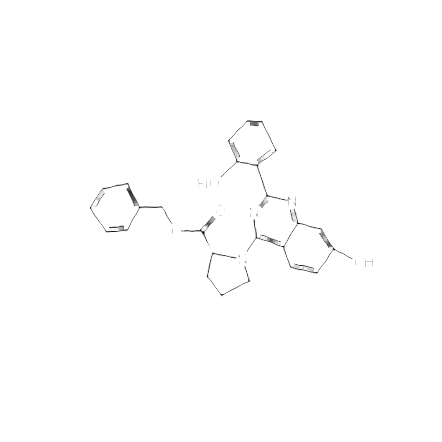 Cc1ccc2c(N3CCC[C@H]3C(=O)OCc3ccccc3)nc(-c3ccccc3O)nc2c1